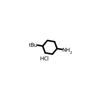 CC(C)(C)C1CCC(N)CC1.Cl